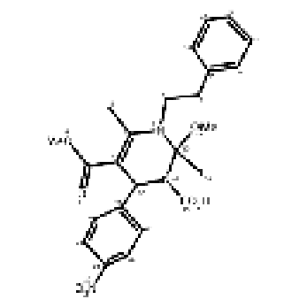 COC(=O)C1=C(C)N(CCc2ccccc2)C(I)(OC)N(C(=O)O)C1c1ccc([N+](=O)[O-])cc1